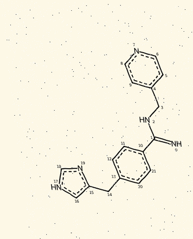 N=C(NCc1ccncc1)c1ccc(Cc2c[nH]cn2)cc1